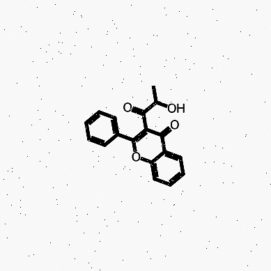 CC(O)C(=O)c1c(-c2ccccc2)oc2ccccc2c1=O